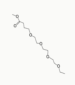 CCOCCOCCOCCOCCCC(=O)OC